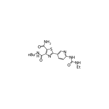 CCCCNC(=O)c1nc(-c2ccc(NC(=O)NCC)nc2)sc1C(N)=O